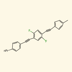 CCCc1ccc(C#Cc2cc(F)c(C#Cc3ccc(C)cc3)cc2F)cc1